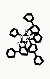 c1ccc(-c2ccc([Si]3(c4ccccc4)n4c(nc5c(-c6ccccc6)cccc54)N(c4ccccc4)c4nc5c(-c6ccccc6)cccc5n43)cc2)cc1